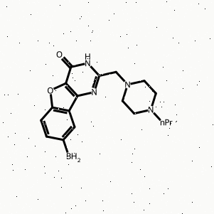 Bc1ccc2oc3c(=O)[nH]c(CN4CCN(CCC)CC4)nc3c2c1